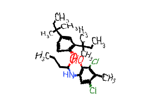 CCCC(Nc1cc(Cl)c(C)c(Cl)c1O)Oc1ccc(C(C)(C)CC)cc1C(C)(C)CC